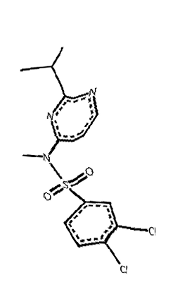 CC(C)c1nccc(N(C)S(=O)(=O)c2ccc(Cl)c(Cl)c2)n1